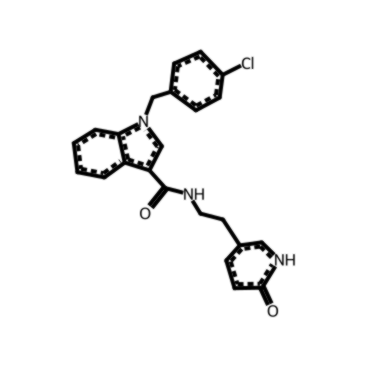 O=C(NCCc1ccc(=O)[nH]c1)c1cn(Cc2ccc(Cl)cc2)c2ccccc12